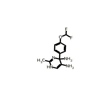 CC1=NC(N)(c2ccc(OC(F)F)cc2)C(N)=CN1